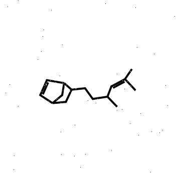 CC(C)=CC(C)CCC1CC2C=CC1C2